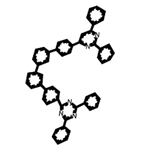 c1ccc(-c2cc(-c3ccc(-c4cccc(-c5cccc(-c6ccc(-c7nc(-c8ccccc8)nc(-c8ccccc8)n7)cc6)c5)c4)cc3)nc(-c3ccccc3)n2)cc1